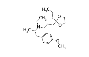 CCCC1(CCCN(CC)C(C)Cc2ccc(OC)cc2)OCCO1